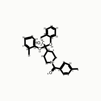 Cc1ccc(C(=O)N2CCC(C(Oc3ccccc3C)(Oc3ccccc3C)C(=O)O)CC2)cc1